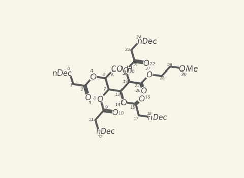 CCCCCCCCCCCC(=O)OC(C(=O)O)C(OC(=O)CCCCCCCCCCC)C(OC(=O)CCCCCCCCCCC)C(OC(=O)CCCCCCCCCCC)C(=O)OCCOC